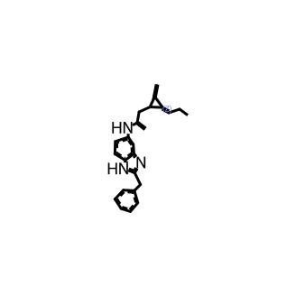 C=C(CC1C(=C)/C1=C\CC)Nc1ccc2[nH]c(Cc3ccccc3)nc2c1